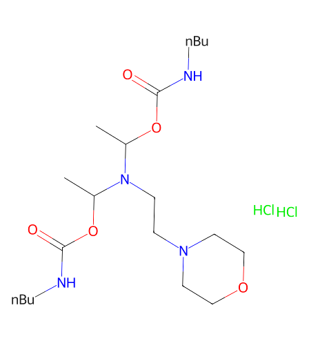 CCCCNC(=O)OC(C)N(CCN1CCOCC1)C(C)OC(=O)NCCCC.Cl.Cl